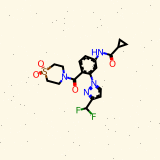 O=C(Nc1ccc(C(=O)N2CCS(=O)(=O)CC2)c(-n2ccc(C(F)F)n2)c1)C1CC1